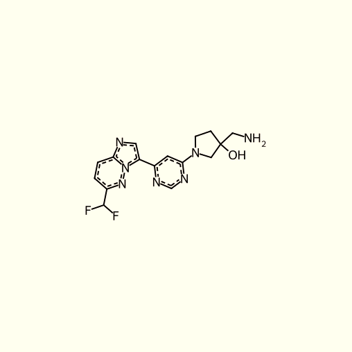 NCC1(O)CCN(c2cc(-c3cnc4ccc(C(F)F)nn34)ncn2)C1